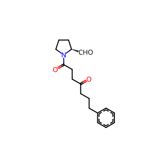 O=C[C@@H]1CCCN1C(=O)CCC(=O)CCCc1ccccc1